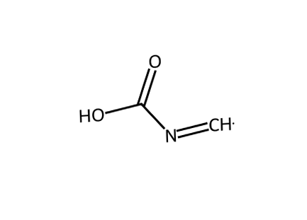 [CH]=NC(=O)O